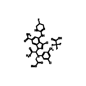 COC(=O)C[C@@H](c1cc(Cl)cc(C(F)(F)F)c1)C(C(N)=O)n1nc(Cl)c2c(NC3=NCC(F)CN3)cc(C(N)=O)cc21.O=C(O)C(F)(F)F